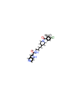 COc1cc(Cl)ccc1C(=O)N1CCC(CCCCNC(=O)c2cc3cnccc3[nH]2)CC1